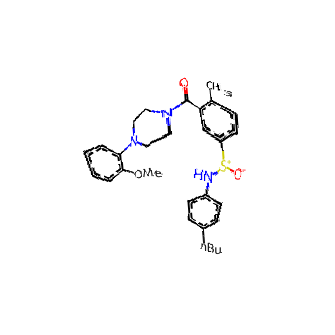 CCCCc1ccc(N[S+]([O-])c2ccc(C)c(C(=O)N3CCN(c4ccccc4OC)CC3)c2)cc1